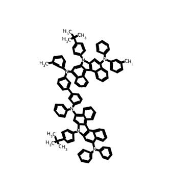 Cc1cccc(N(c2ccccc2)c2cc3c(c4ccccc24)c2c4ccccc4c(N(c4cccc(C)c4)c4cccc(-c5cccc(N(c6ccccc6)c6cc7c(c8ccccc68)c6c8ccccc8c(N(c8ccccc8)c8ccccc8)cc6n7-c6ccc(C(C)(C)C)cc6)c5)c4)cc2n3-c2ccc(C(C)(C)C)cc2)c1